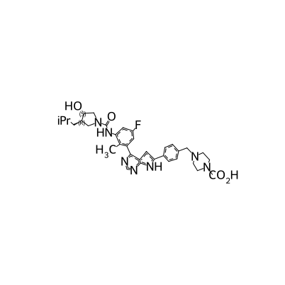 Cc1c(NC(=O)N2C[C@@H](CC(C)C)[C@H](O)C2)cc(F)cc1-c1ncnc2[nH]c(-c3ccc(CN4CCN(C(=O)O)CC4)cc3)cc12